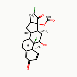 CCCCC(=O)O[C@]1(C(=O)CCl)C(C)C[C@H]2[C@@H]3CCC4=CC(=O)C=C[C@]4(C)[C@@]3(F)C(O)C[C@@]21C